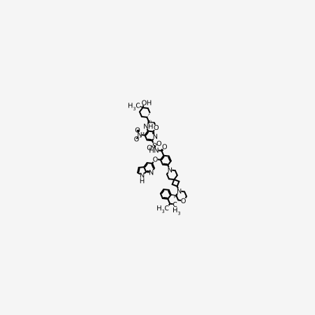 CC(C)c1ccccc1[C@@H]1COCCN1C1CC2(CCN(c3ccc(C(=O)NS(=O)(=O)c4cc([N+](=O)[O-])c5c(n4)OC[C@H]([C@H]4CC[C@@](C)(O)CC4)N5)c(Oc4cnc5[nH]ccc5c4)c3)CC2)C1